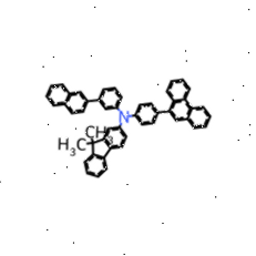 CC1(C)c2ccccc2-c2ccc(N(c3ccc(-c4cc5ccccc5c5ccccc45)cc3)c3cccc(-c4ccc5ccccc5c4)c3)cc21